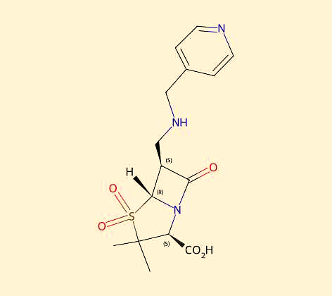 CC1(C)[C@H](C(=O)O)N2C(=O)[C@H](CNCc3ccncc3)[C@H]2S1(=O)=O